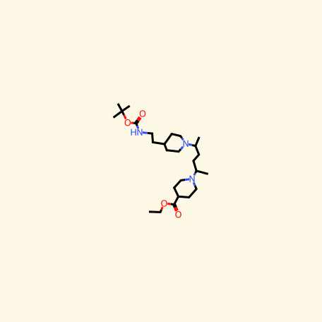 CCOC(=O)C1CCN(C(C)CCC(C)N2CCC(CCNC(=O)OC(C)(C)C)CC2)CC1